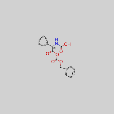 O=C(O)N[C@H](C(=O)OC(=O)OCc1ccccc1)c1ccccc1